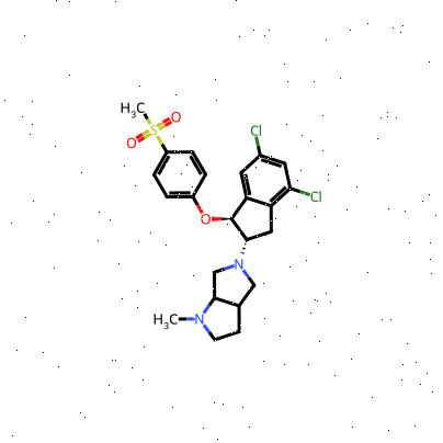 CN1CCC2CN([C@H]3Cc4c(Cl)cc(Cl)cc4[C@@H]3Oc3ccc(S(C)(=O)=O)cc3)CC21